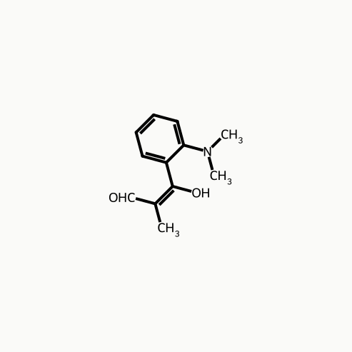 C/C(C=O)=C(\O)c1ccccc1N(C)C